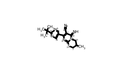 CC1CSc2nc(-c3cnc(C(C)(C)C)nc3)c(C#N)c(=N)n2C1